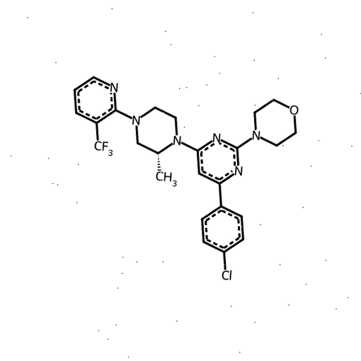 C[C@@H]1CN(c2ncccc2C(F)(F)F)CCN1c1cc(-c2ccc(Cl)cc2)nc(N2CCOCC2)n1